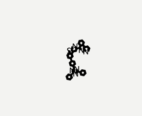 c1ccc(-c2nc(-c3ccccc3)nc(-c3ccc(-c4ccc5sc6cnc(-c7nc8ncccc8c8ccccc78)cc6c5c4)cc3)n2)cc1